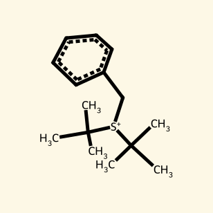 CC(C)(C)[S+](Cc1ccccc1)C(C)(C)C